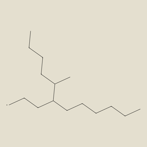 [CH2]CCC(CCCCCC)C(C)CCCC